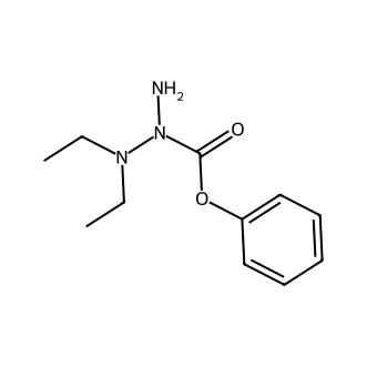 CCN(CC)N(N)C(=O)Oc1ccccc1